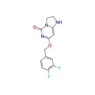 O=c1nc(OCc2ccc(F)c(F)c2)cc2n1CCN2